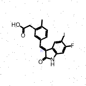 Cc1ccc(/C=C2/C(=O)Nc3cc(F)c(I)cc32)cc1CC(=O)O